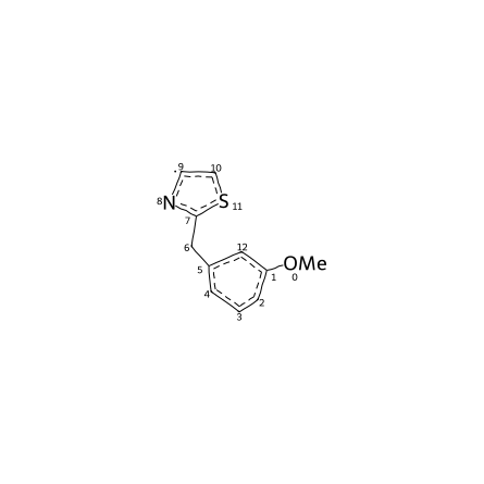 COc1cccc(Cc2n[c]cs2)c1